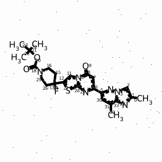 Cc1cn2nc(-c3cc(=O)n4cc(C5(F)CCN(C(=O)OC(C)(C)C)CC5)sc4n3)cc(C)c2n1